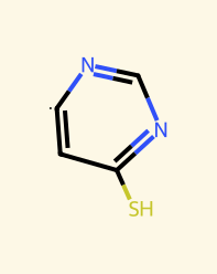 Sc1c[c]ncn1